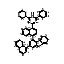 c1ccc(C2=NC(c3ccc(-c4cc(-c5cccc6ccccc56)cc5oc6ccccc6c45)c4ccccc34)=NC(c3ccccc3)N2)cc1